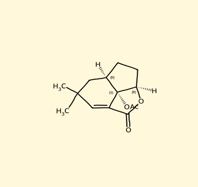 CC(=O)O[C@]12C3=CC(C)(C)C[C@H]1CC[C@H]2OC3=O